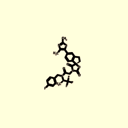 Cc1nc(C)c(-c2ccc3c(c2)CC[C@@]32OC(=O)N(CC(=O)N(Cc3ccc(F)cc3)[C@H](C)C(F)(F)F)C2=O)s1